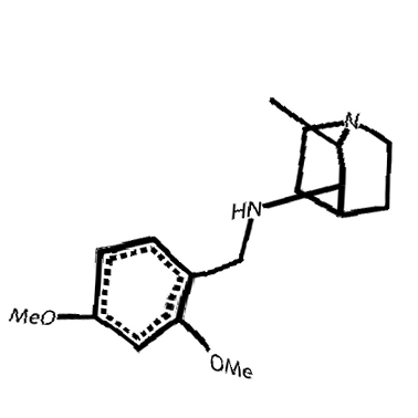 COc1ccc(CNC2C3CCN(CC3)C2C)c(OC)c1